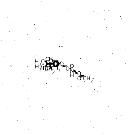 C=CC(=O)OCCNC(=O)OCCOc1ccc(C(C)(C(C)C)C(C(C)C)C(C)C)cc1